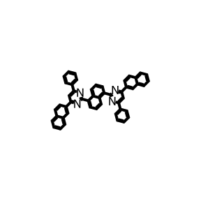 c1ccc(-c2cc(-c3ccc4ccccc4c3)nc(-c3cccc4c(-c5nc(-c6ccccc6)cc(-c6ccc7ccccc7c6)n5)cccc34)n2)cc1